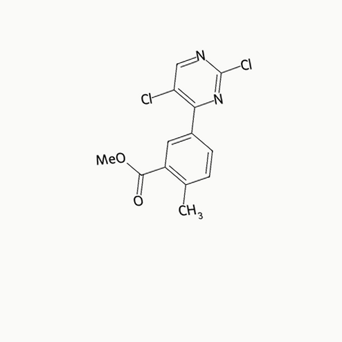 COC(=O)c1cc(-c2nc(Cl)ncc2Cl)ccc1C